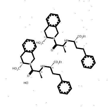 CCOC(=O)[C@H](CCc1ccccc1)N[C@@H](C)C(=O)N1Cc2ccccc2C[C@H]1C(=O)O.CCOC(=O)[C@H](CCc1ccccc1)N[C@@H](C)C(=O)N1Cc2ccccc2C[C@H]1C(=O)O.Cl